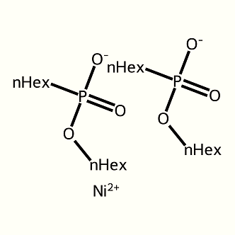 CCCCCCOP(=O)([O-])CCCCCC.CCCCCCOP(=O)([O-])CCCCCC.[Ni+2]